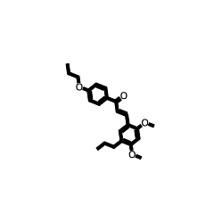 CCCOc1ccc(C(=O)/C=C/c2cc(CCC)c(OC)cc2OC)cc1